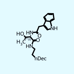 CCCCCCCCCCCCNC(=O)[C@@H](NC(=O)Cc1c[nH]c2ccccc12)[C@@H](C)O